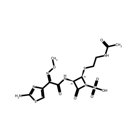 CON=C(C(=O)N[C@@H]1C(=O)N(S(=O)(=O)O)[C@@H]1SCCNC(C)=O)c1csc(N)n1